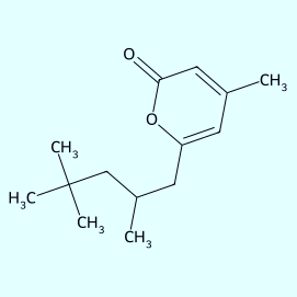 Cc1cc(CC(C)CC(C)(C)C)oc(=O)c1